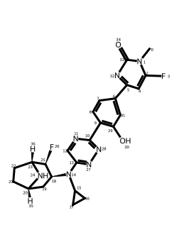 Cn1c(F)cc(-c2ccc(-c3ncc(N(C4CC4)[C@H]4C[C@@H]5CC[C@@H](N5)[C@H]4F)nn3)c(O)c2)nc1=O